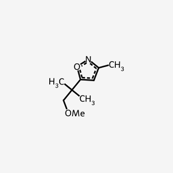 COCC(C)(C)c1cc(C)no1